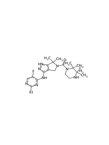 CCc1ncc(F)c(Nc2n[nH]c3c2CN(C(=O)N2CCNC(C)(C)C2(C)C)C3(C)C)n1